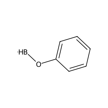 [BH]Oc1ccccc1